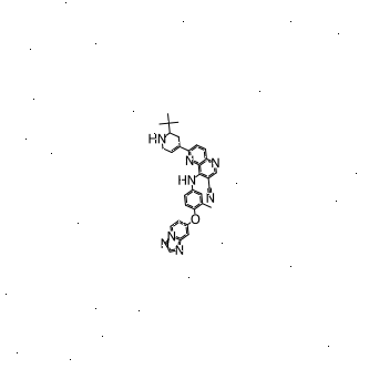 Cc1cc(Nc2c(C#N)cnc3ccc(C4=CCNC(C(C)(C)C)C4)nc23)ccc1Oc1ccn2ncnc2c1